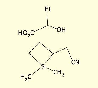 CCC(O)C(=O)O.C[Si]1(C)CCC1CC#N